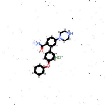 Cl.NC(=O)c1ccc(N2CCNCC2)cc1-c1ccc(Oc2ccccc2)cc1